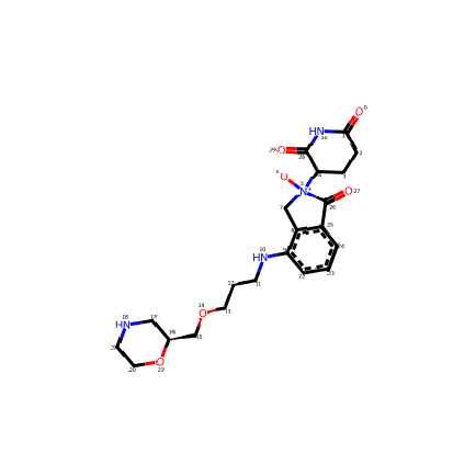 O=C1CCC([N+]2([O-])Cc3c(NCCCOC[C@@H]4CNCCO4)cccc3C2=O)C(=O)N1